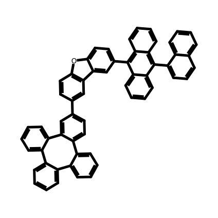 c1ccc2c(c1)-c1ccccc1-c1ccc(-c3ccc4oc5ccc(-c6c7ccccc7c(-c7cccc8ccccc78)c7ccccc67)cc5c4c3)cc1-c1ccccc1-2